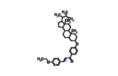 CCOc1ccc(/C=C/C(=O)c2ccc(OC3CCC4(C)C(CCC5C4CCC4(C)C(C(C)C(C)C)CCC54)C3)cc2)cc1